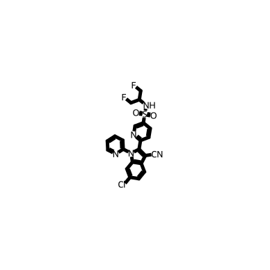 N#Cc1c(-c2ccc(S(=O)(=O)NC(CF)CF)cn2)n(-c2ccccn2)c2cc(Cl)ccc12